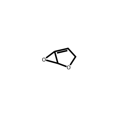 C1=C2OC2OC1